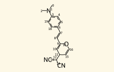 CN(C)c1ccc(/C=C/C2=CC(C(C#N)C#N)C=CO2)cc1